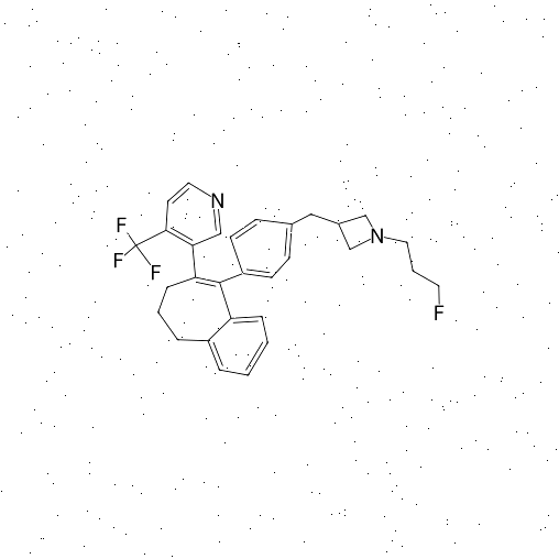 FCCCN1CC(Cc2ccc(C3=C(c4cnccc4C(F)(F)F)CCCc4ccccc43)cc2)C1